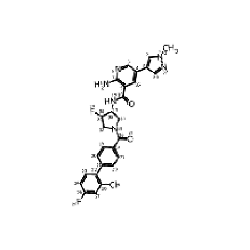 Cn1cc(-c2cnc(N)c(C(=O)N[C@H]3CN(C(=O)c4ccc(-c5ccc(F)cc5Cl)cc4)C[C@H]3F)c2)cn1